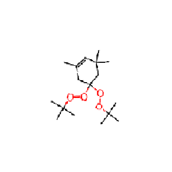 CC1=CC(C)(C)CC(OOC(C)(C)C)(OOC(C)(C)C)C1